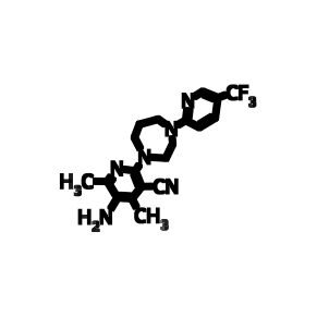 Cc1nc(N2CCCN(c3ccc(C(F)(F)F)cn3)CC2)c(C#N)c(C)c1N